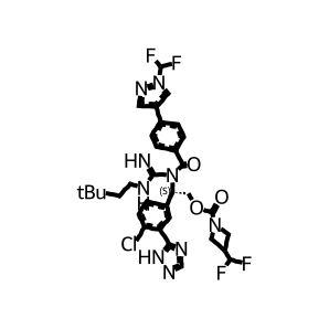 CC(C)(C)CCNC(=N)N(C(=O)c1ccc(-c2cnn(C(F)F)c2)cc1)[C@H](COC(=O)N1CC(C(F)F)C1)c1ccc(Cl)c(-c2ncn[nH]2)c1